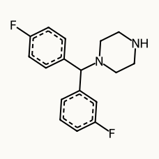 Fc1ccc(C(c2cccc(F)c2)N2CCNCC2)cc1